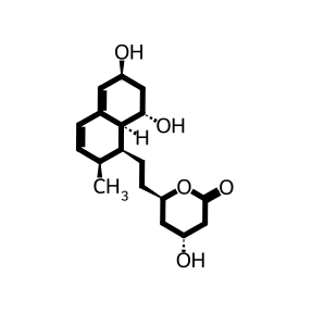 C[C@H]1C=CC2=C[C@@H](O)C[C@H](O)[C@H]2[C@H]1CC[C@@H]1C[C@@H](O)CC(=O)O1